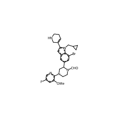 COc1cc(F)cnc1N1CCN(C=O)C(c2cc(Br)c3c(c2)cc(C2=CCCNC2)n3CC2CC2)C1